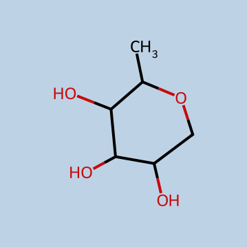 CC1OCC(O)C(O)C1O